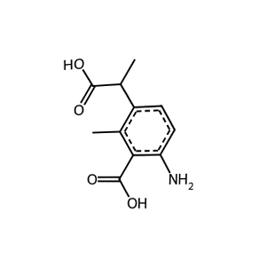 Cc1c(C(C)C(=O)O)ccc(N)c1C(=O)O